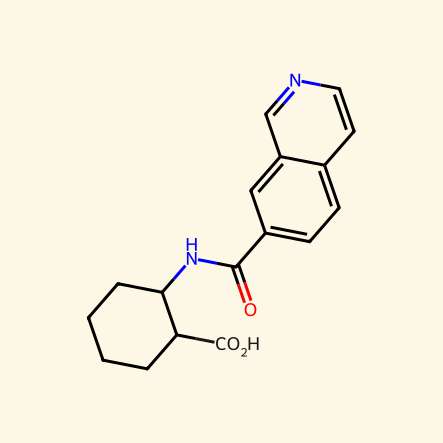 O=C(NC1CCCCC1C(=O)O)c1ccc2ccncc2c1